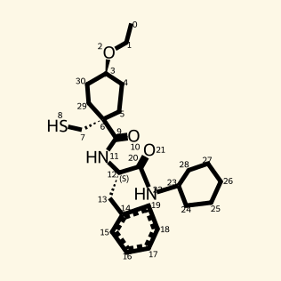 CCO[C@H]1CC[C@@](CS)(C(=O)N[C@@H](Cc2ccccc2)C(=O)NC2CCCCC2)CC1